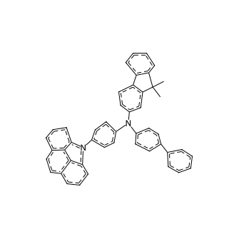 CC1(C)c2ccccc2-c2ccc(N(c3ccc(-c4ccccc4)cc3)c3ccc(-n4c5cccc6ccc7cccc4c7c65)cc3)cc21